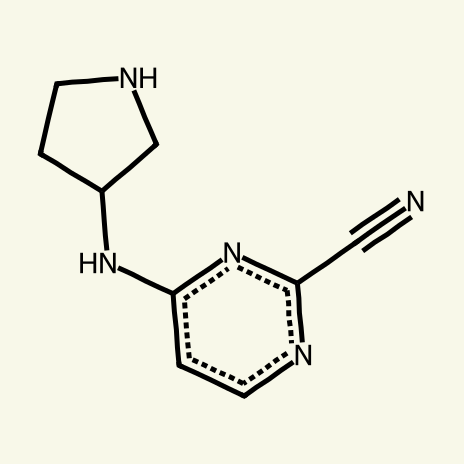 N#Cc1nccc(NC2CCNC2)n1